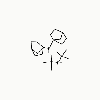 C1CC2(PC34CCC(CC3)C4)CCC1C2.CC(C)(C)PC(C)(C)C